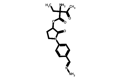 CCC(N)(C(C)=O)C(=O)OC1CCN(c2ccc(C=NN)cc2)C1=O